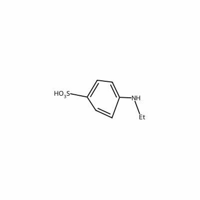 CCNc1ccc(S(=O)(=O)O)cc1